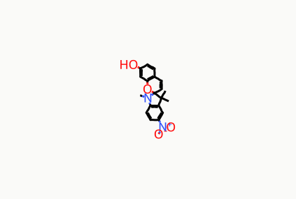 CN1c2ccc([N+](=O)[O-])cc2C(C)(C)C12C=Cc1ccc(O)cc1O2